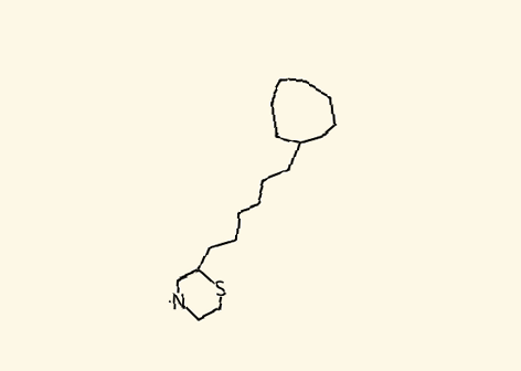 C1CCCC(CCCCCCC2C[N]CCS2)CCC1